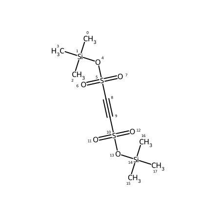 C[Si](C)(C)OS(=O)(=O)C#CS(=O)(=O)O[Si](C)(C)C